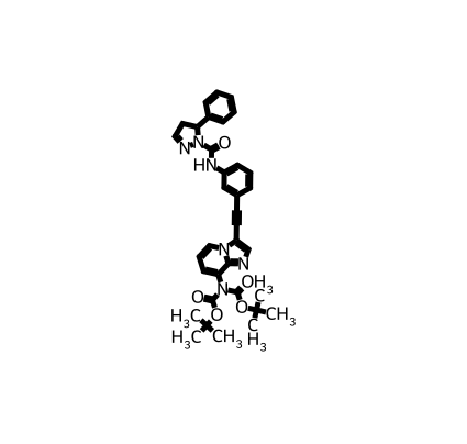 CC(C)(C)OC(=O)N(C(=O)OC(C)(C)C)c1cccn2c(C#Cc3cccc(NC(=O)N4N=CCC4c4ccccc4)c3)cnc12